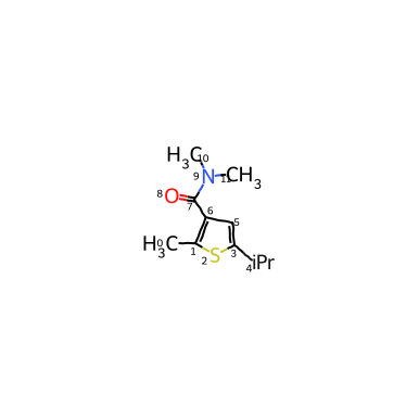 Cc1sc(C(C)C)cc1C(=O)N(C)C